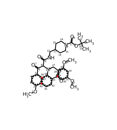 COc1ccc(C(=O)C(C(=O)NCC2CCN(C(=O)OC(C)(C)C)CC2)N(Cc2ccc(OC)cc2OC)c2ccccc2[N+](=O)[O-])cc1